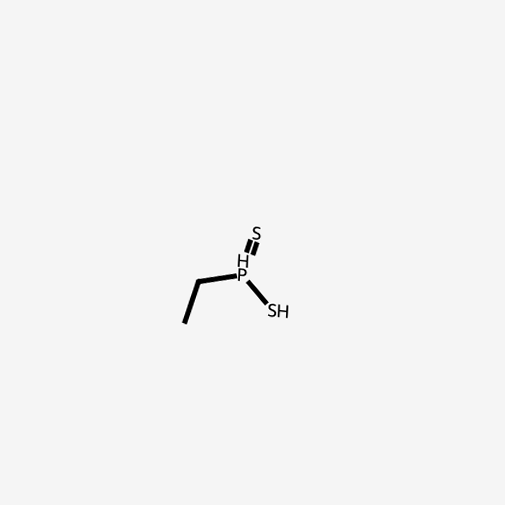 CC[PH](=S)S